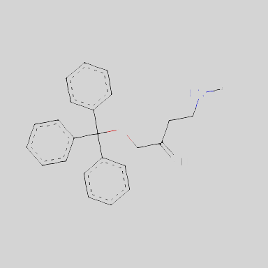 C=C(CCNC)COC(c1ccccc1)(c1ccccc1)c1ccccc1